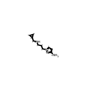 Nc1ccn(CCCNCC2CC2)n1